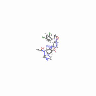 C=CC(=O)Nc1cc(Nc2cc(N3OCC[C@@H]3c3ccc(F)cc3F)ncn2)c(OC)cc1N1CCN(C)CC1